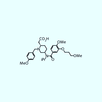 COCCCOc1cc(C(=O)N(C(C)C)[C@@H]2CC[C@H](CC(=O)O)N(Cc3ccc(OC)cc3)C2)ccc1OC